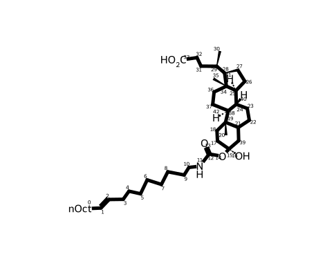 CCCCCCCCC=CCCCCCCCCNC(=O)O[C@@]1(O)CC[C@@]2(C)C(CC[C@H]3[C@@H]4CC[C@H]([C@H](C)CCC(=O)O)[C@@]4(C)CC[C@@H]32)C1